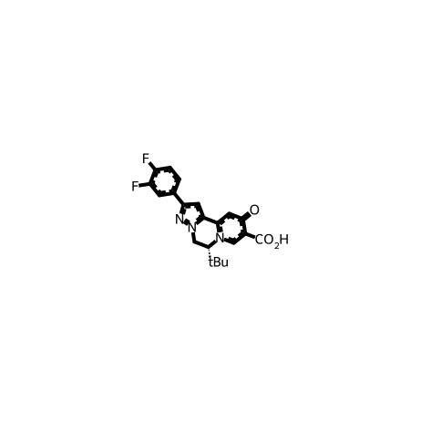 CC(C)(C)[C@@H]1Cn2nc(-c3ccc(F)c(F)c3)cc2-c2cc(=O)c(C(=O)O)cn21